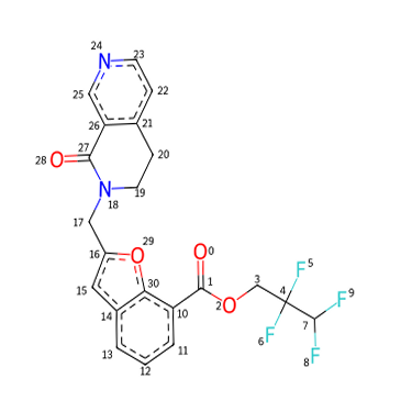 O=C(OCC(F)(F)C(F)F)c1cccc2cc(CN3CCc4ccncc4C3=O)oc12